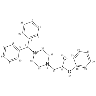 c1ccc(C(c2ccccc2)N2CCN(CC3Oc4ccccc4O3)CC2)cc1